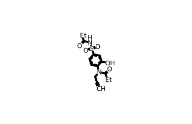 C#CCN(C(=O)CC)c1ccc(S(=O)(=O)NC(=O)CC)cc1O